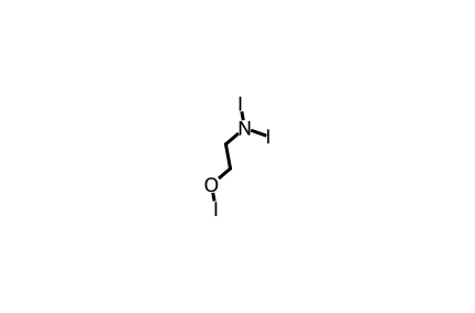 IOCCN(I)I